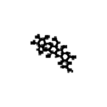 CC(=O)N[C@@H]1[C@@H](O)[C@H](O[C@@H]2O[C@H](CO)[C@H](O[C@H]3O[C@H](CO)[C@H](O)[C@H](O)[C@H]3O)[C@H](O)[C@H]2O)[C@@H](CO)O[C@H]1O